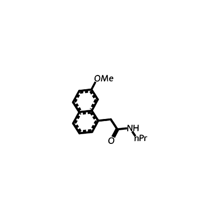 CCCNC(=O)Cc1cccc2ccc(OC)cc12